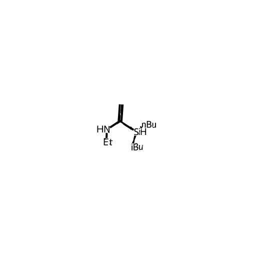 C=C(NCC)[SiH](CCCC)C(C)CC